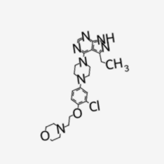 CCc1n[nH]c2ncnc(N3CCN(c4ccc(OCCN5CCOCC5)c(Cl)c4)CC3)c12